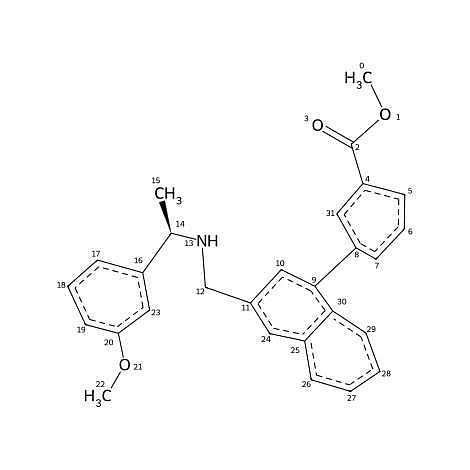 COC(=O)c1cccc(-c2cc(CN[C@H](C)c3cccc(OC)c3)cc3ccccc23)c1